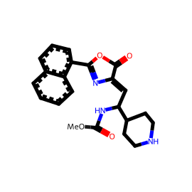 COC(=O)NC(C=C1N=C(c2cccc3ccccc23)OC1=O)C1CCNCC1